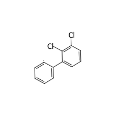 Clc1cccc(-c2[c]cccc2)c1Cl